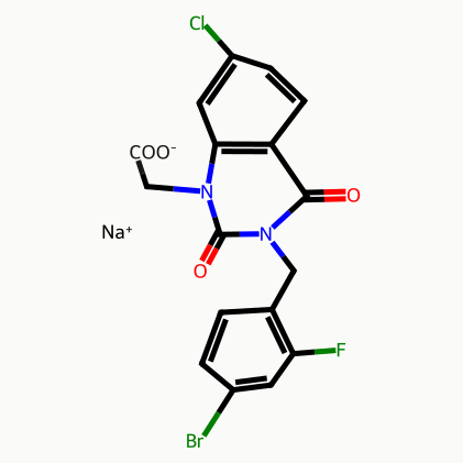 O=C([O-])Cn1c(=O)n(Cc2ccc(Br)cc2F)c(=O)c2ccc(Cl)cc21.[Na+]